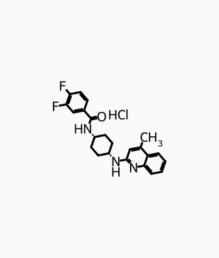 Cc1cc(N[C@H]2CC[C@@H](NC(=O)c3ccc(F)c(F)c3)CC2)nc2ccccc12.Cl